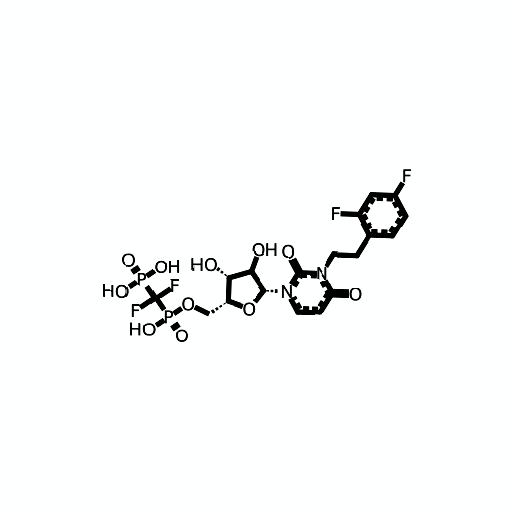 O=c1ccn([C@@H]2O[C@H](COP(=O)(O)C(F)(F)P(=O)(O)O)[C@H](O)C2O)c(=O)n1CCc1ccc(F)cc1F